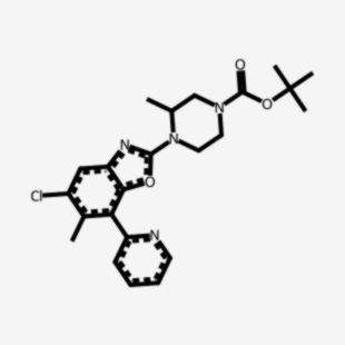 Cc1c(Cl)cc2nc(N3CCN(C(=O)OC(C)(C)C)CC3C)oc2c1-c1ccccn1